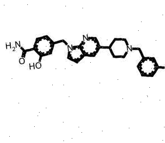 COc1cccc(CN2CCC(c3cnc4c(ccn4Cc4ccc(C(N)=O)c(O)c4)c3)CC2)c1